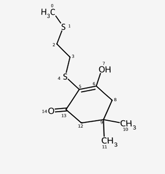 CSCCSC1=C(O)CC(C)(C)CC1=O